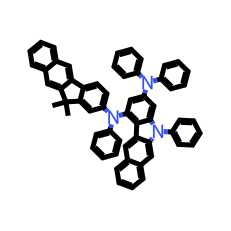 CC1(C)c2cc(N(c3ccccc3)c3cc(N(c4ccccc4)c4ccccc4)cc4c3c3cc5ccccc5cc3n4-c3ccccc3)ccc2-c2cc3ccccc3cc21